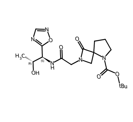 C[C@@H](O)[C@H](NC(=O)CN1CC2(CCCN2C(=O)OC(C)(C)C)C1=O)c1ncno1